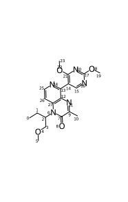 CCC(COC)n1c(=O)c(C)nc2c(-c3cnc(OC)nc3OC)nccc21